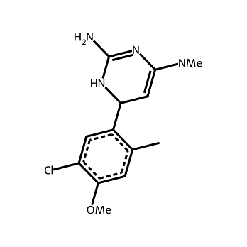 CNC1=CC(c2cc(Cl)c(OC)cc2C)NC(N)=N1